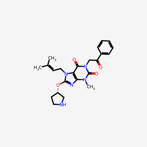 CC(C)=CCn1c(O[C@H]2CCNC2)nc2c1c(=O)n(CC(=O)c1ccccc1)c(=O)n2C